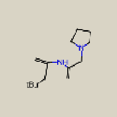 C=C(CN1CCCC1)NC(=C)CC(C)(C)C